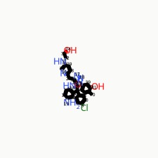 Cc1cc([C@]2(c3ccc(Cl)cc3)C(=O)Nc3ccc(N)cc32)c(-n2cc(Cc3ccc(NCCO)cn3)nn2)cc1O